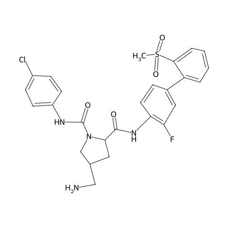 CS(=O)(=O)c1ccccc1-c1ccc(NC(=O)C2CC(CN)CN2C(=O)Nc2ccc(Cl)cc2)c(F)c1